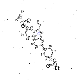 C=C/C=C/c1cc(-c2ccc(OC(=O)CC)cc2)ccc1-c1ccc(OC(=O)C(=C)C)cc1